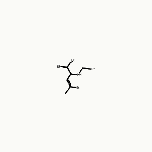 CC/C(C)=C\C(NCC(C)C)C(CC)CC